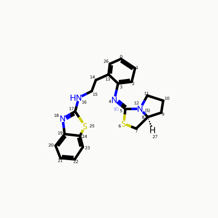 c1ccc(/N=C2/SC[C@@H]3CCCN23)c(CCNc2nc3ccccc3s2)c1